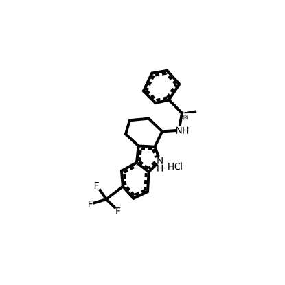 C[C@@H](NC1CCCc2c1[nH]c1ccc(C(F)(F)F)cc21)c1ccccc1.Cl